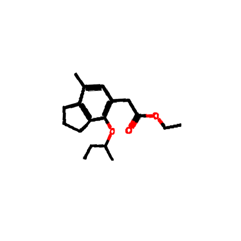 CCOC(=O)Cc1cc(C)c2c(c1OC(C)CC)CCC2